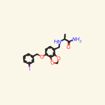 CC(NCc1ccc(OCc2cccc(I)c2)c2c1OCO2)C(N)=O